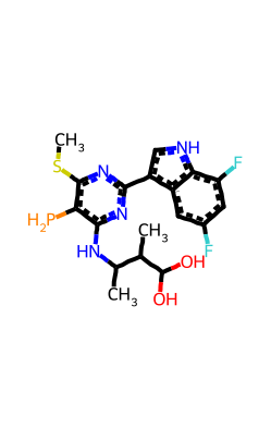 CSc1nc(-c2c[nH]c3c(F)cc(F)cc23)nc(NC(C)C(C)C(O)O)c1P